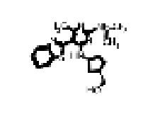 Cc1nc(N[C@@H](C)C(F)(F)F)nc(N[C@H]2CC[C@@H](CO)C2)c1-c1nc2ccccc2s1